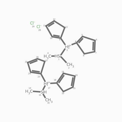 C[SiH](C)[Hf+]([C]1=CC=CC1)[C]1=CC=CC1.C[SiH](C)[Hf+]([C]1=CC=CC1)[C]1=CC=CC1.[Cl-].[Cl-]